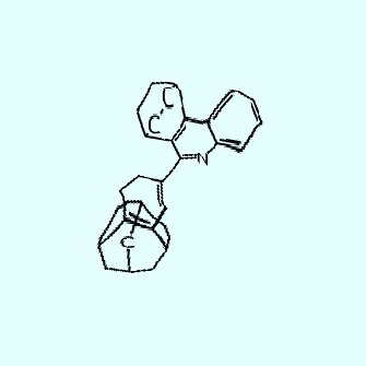 C1=C(c2nc3ccccc3c3c2C2CCC3CC2)CCC2=C1C1CC3CC(C1)CC2C3